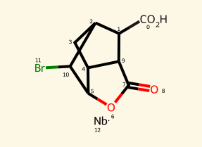 O=C(O)C1C2CC3C(OC(=O)C31)C2Br.[Nb]